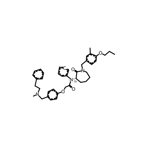 CCCOc1ccc(CN2CCCC[C@H](N(C(=O)COc3ccc(CN(C)CCc4ccccc4)cc3)c3ccccc3)C2=O)cc1C